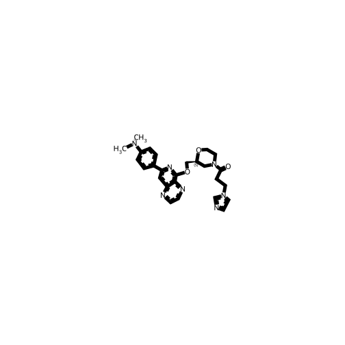 CN(C)c1ccc(-c2cc3nccnc3c(OC[C@@H]3CN(C(=O)CCn4ccnc4)CCO3)n2)cc1